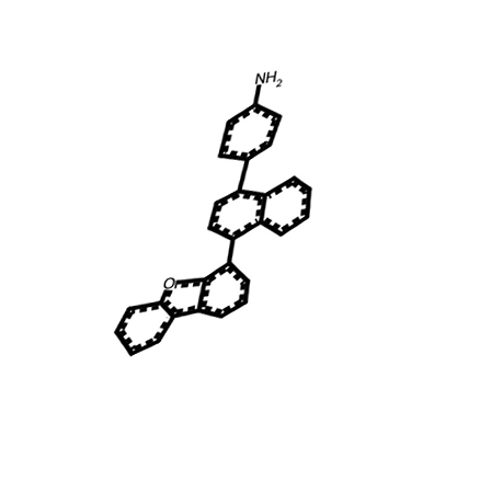 Nc1ccc(-c2ccc(-c3cccc4c3oc3ccccc34)c3ccccc23)cc1